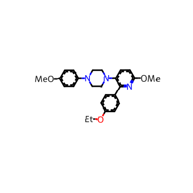 CCOc1ccc(-c2nc(OC)ccc2N2CCN(c3ccc(OC)cc3)CC2)cc1